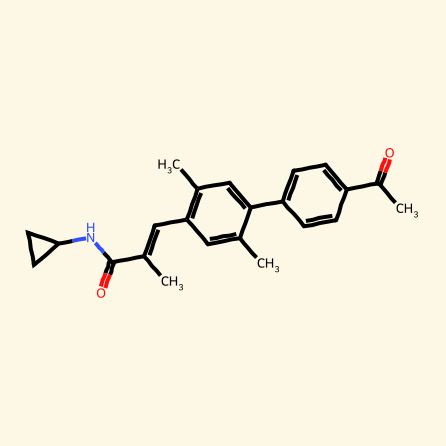 CC(=O)c1ccc(-c2cc(C)c(/C=C(\C)C(=O)NC3CC3)cc2C)cc1